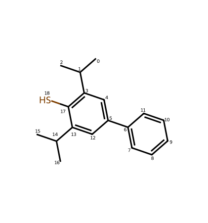 CC(C)c1cc(-c2ccccc2)cc(C(C)C)c1S